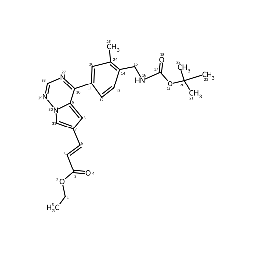 CCOC(=O)/C=C/c1cc2c(-c3ccc(CNC(=O)OC(C)(C)C)c(C)c3)ncnn2c1